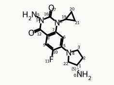 N[C@H]1CCN(c2cc3c(cc2F)c(=O)n(N)c(=O)n3C2CC2)C1